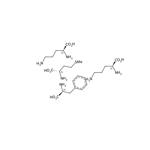 CSCC[C@H](N)C(=O)O.NCCC[C@H](N)C(=O)O.NCCC[C@H](N)C(=O)O.N[C@@H](Cc1ccccc1)C(=O)O